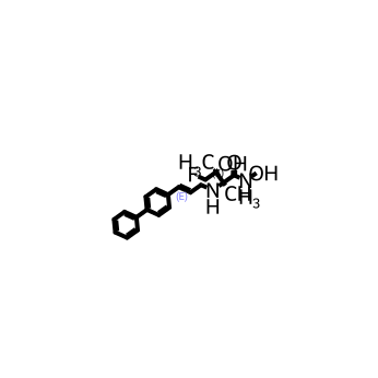 CC(NC/C=C/c1ccc(-c2ccccc2)cc1)(C(=O)NO)[C@](C)(O)CF